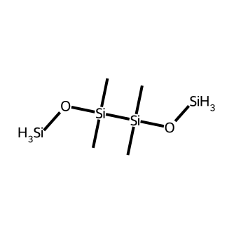 C[Si](C)(O[SiH3])[Si](C)(C)O[SiH3]